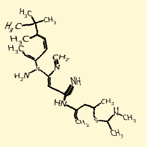 C=N/C(=C\C(=N)NC(=C)CC(C)SC(C)NC)N(N)C(/C=C\C(C)C(C)(C)C)=C/C